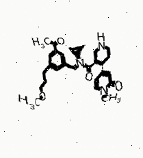 COCCCc1cc(CN(C(=O)[C@H]2CNCC[C@@H]2c2ccn(C)c(=O)c2)C2CC2)cc(C(C)=O)c1